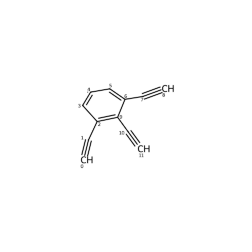 C#Cc1c[c]cc(C#C)c1C#C